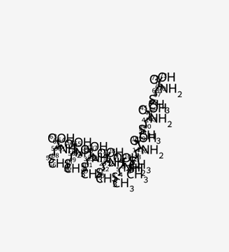 CS.CSCCC(N)C(=O)O.CSCCC(N)C(=O)O.CSCCC(N)C(=O)O.CSCCC(N)C(=O)O.CSCCC(N)C(=O)O.CSCCC(N)C(=O)O.CSCCC(N)C(=O)O.CSCCC(N)C(=O)O